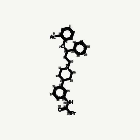 CC(=O)c1ccccc1OC(CCN1CCC(c2cccc(NC(=O)C(C)C)c2)CC1)c1ccccc1